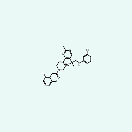 Cc1ncc(C(C)(O)CNc2cccc(Cl)c2)c(C2CCN(C(=O)Cc3c(F)cccc3F)CC2)n1